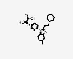 Cc1ccc2c(c1)nc(C=CC1CCCCC1)n2-c1ccccn1.O=C(O)C(=O)O